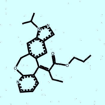 CCCOC(=O)C(CC)=C1c2cc3cnn(C(C)C)c3cc2COc2ncccc21